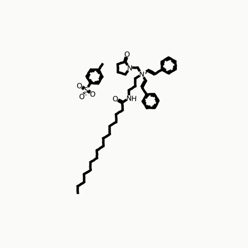 CCCCCCCCCCCCCCCC(=O)NCCC[N+](C=Cc1ccccc1)(C=Cc1ccccc1)CN1CCCC1=O.Cc1ccc(S(=O)(=O)[O-])cc1